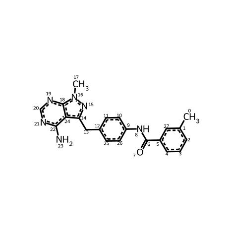 Cc1cccc(C(=O)Nc2ccc(Cc3nn(C)c4ncnc(N)c34)cc2)c1